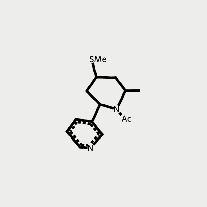 CSC1CC(C)N(C(C)=O)C(c2cccnc2)C1